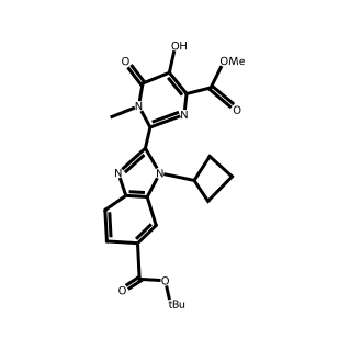 COC(=O)c1nc(-c2nc3ccc(C(=O)OC(C)(C)C)cc3n2C2CCC2)n(C)c(=O)c1O